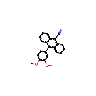 COc1ccc(-c2c3ccccc3c(C#N)c3ccccc23)cc1OC